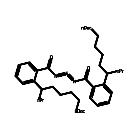 CCCCCCCCCCCCCCC(CCC)c1ccccc1C(=O)N=S=NC(=O)c1ccccc1C(CCC)CCCCCCCCCCCCCC